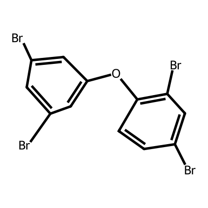 Brc1cc(Br)cc(Oc2ccc(Br)cc2Br)c1